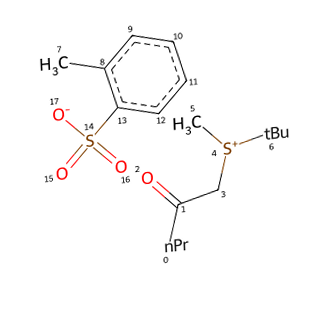 CCCC(=O)C[S+](C)C(C)(C)C.Cc1ccccc1S(=O)(=O)[O-]